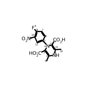 CC1=C(C(=O)O)N(c2ccc(F)c([N+](=O)[O-])c2)C(C(=O)O)=C(C)N1